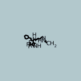 C=CCN/N=C\C/C=C/NC(/C=C/C1CCCCC1)c1c[nH]nc1C(F)(F)F